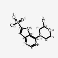 O=S(=O)(Cl)c1cc2ncnc(N3CCOC(Cl)C3)c2s1